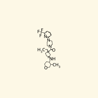 CC[C@]1(C(=O)N2CCN(c3cccc(C(F)(F)F)n3)CC2)CC[C@@H](NC2CCOCC2C)C1